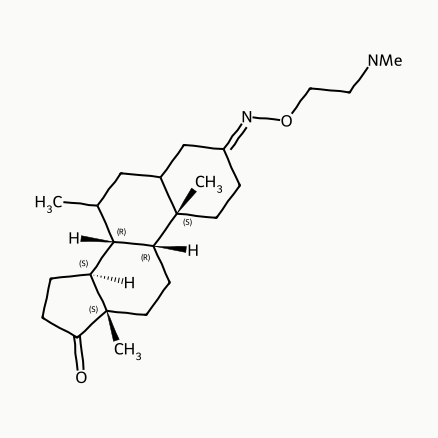 CNCCON=C1CC[C@@]2(C)C(C1)CC(C)[C@@H]1[C@H]2CC[C@]2(C)C(=O)CC[C@@H]12